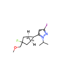 COCC1(F)C[C@@H]2C(c3cc(I)nn3C(C)C)[C@@H]2C1